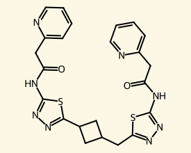 O=C(Cc1ccccn1)Nc1nnc(CC2CC(c3nnc(NC(=O)Cc4ccccn4)s3)C2)s1